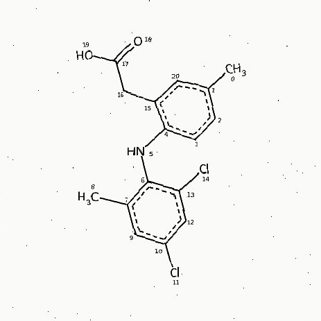 Cc1ccc(Nc2c(C)cc(Cl)cc2Cl)c(CC(=O)O)c1